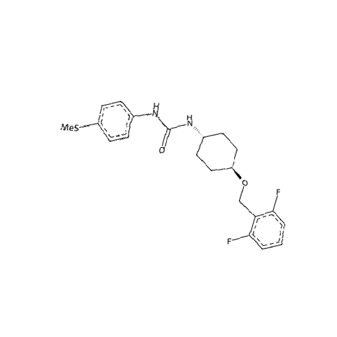 CSc1ccc(NC(=O)N[C@H]2CC[C@H](OCc3c(F)cccc3F)CC2)cc1